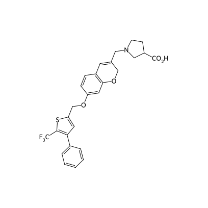 O=C(O)C1CCN(CC2=Cc3ccc(OCc4cc(-c5ccccc5)c(C(F)(F)F)s4)cc3OC2)C1